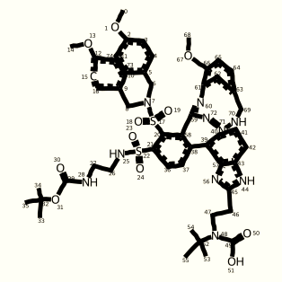 COc1ccc(CN(Cc2ccc(OC)cc2)S(=O)(=O)c2c(S(=O)(=O)NCCNC(=O)OC(C)(C)C)ccc(-c3cccc4[nH]c(CCN(C(=O)O)C(C)(C)C)nc34)c2C2=N\c3cc(ccc3OC)CN\N=N\2)cc1